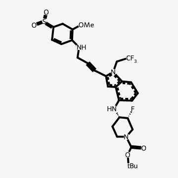 COC1=C(NCC#Cc2cc3c(N[C@H]4CCN(C(=O)OC(C)(C)C)C[C@H]4F)cccc3n2CC(F)(F)F)C=CC(=S(=O)=O)C1